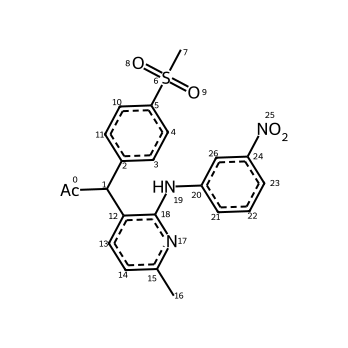 CC(=O)C(c1ccc(S(C)(=O)=O)cc1)c1ccc(C)nc1Nc1cccc([N+](=O)[O-])c1